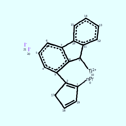 CCCC1=C(c2cccc3c2[CH]([Ti+2])c2ccccc2-3)CC=C1.[I-].[I-]